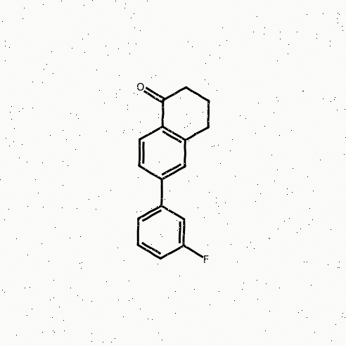 O=C1CCCc2cc(-c3cccc(F)c3)ccc21